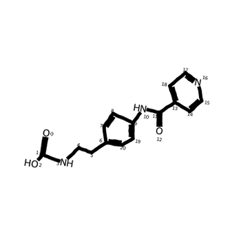 O=C(O)NCCc1ccc(NC(=O)c2ccncc2)cc1